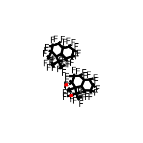 FC(F)(F)C(F)(C(F)(F)F)C1(C(F)(F)F)C(F)(F)C(F)(F)C(F)(F)C2(F)C(F)(F)C(F)(F)C(F)(F)C(F)(F)C21F.FC(F)(F)C(F)(C(F)(F)F)C1(F)C(F)(C(F)(F)F)C(F)(F)C(F)(F)C2(F)C(F)(F)C(F)(F)C(F)(F)C(F)(F)C21F